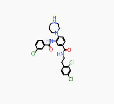 O=C(NCCc1ccc(Cl)cc1Cl)c1ccc(N2CCCNCC2)c(NC(=O)c2cccc(Cl)c2)c1